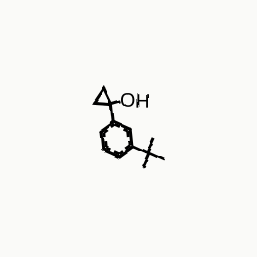 CC(C)(C)c1cccc(C2(O)CC2)c1